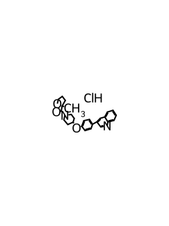 CC1(C(=O)N2CCC(Oc3ccc(-c4cnc5ccccc5c4)cc3)CC2)CCCO1.Cl